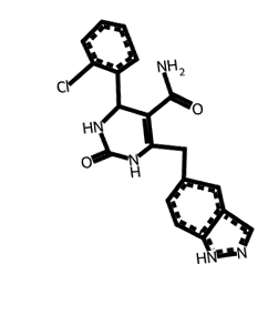 NC(=O)C1=C(Cc2ccc3[nH]ncc3c2)NC(=O)NC1c1ccccc1Cl